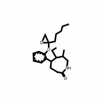 CCCCCC1(Oc2ccc[c]c2C2C[CH]C(=O)NCC(C)C2CC)CO1